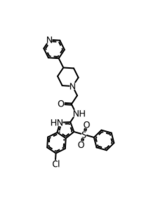 O=C(CN1CCC(c2ccncc2)CC1)Nc1[nH]c2ccc(Cl)cc2c1S(=O)(=O)c1ccccc1